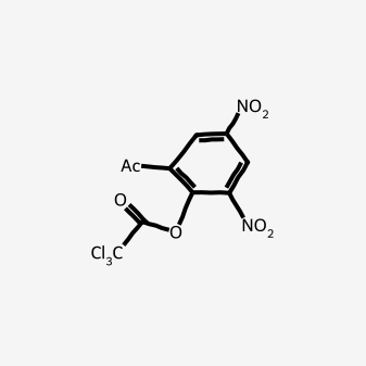 CC(=O)c1cc([N+](=O)[O-])cc([N+](=O)[O-])c1OC(=O)C(Cl)(Cl)Cl